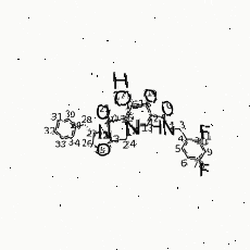 O=C(NCc1ccc(F)cc1F)c1cn2c(c(O)c1=O)C(=O)N1C(C2)OC[C@@H]1Cc1ccccc1